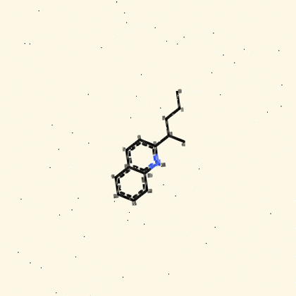 CCCC(C)c1ccc2ccccc2n1